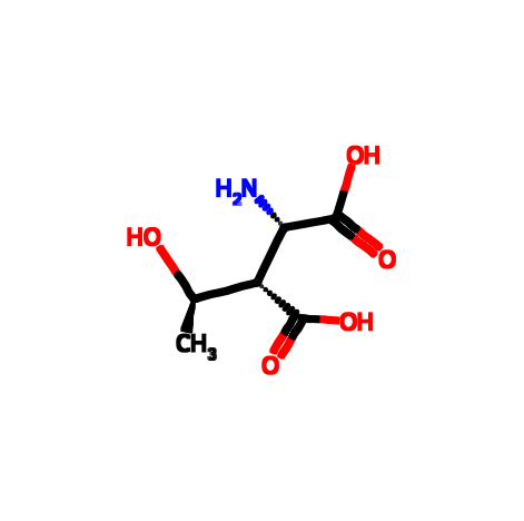 C[C@@H](O)[C@@H](C(=O)O)[C@H](N)C(=O)O